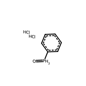 Cl.Cl.O=[PH2]c1ccccc1